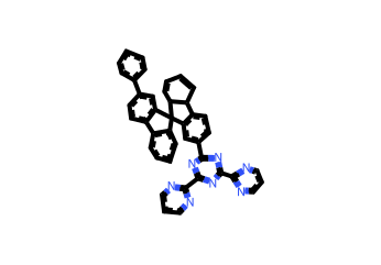 C1=CC2c3ccc(-c4nc(-c5ncccn5)nc(-c5ncccn5)n4)cc3C3(c4ccccc4-c4ccc(-c5ccccc5)cc43)C2C=C1